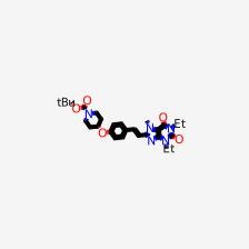 CCn1c(=O)c2c(nc(C=Cc3ccc(OC4CCN(C(=O)OC(C)(C)C)CC4)cc3)n2C)n(CC)c1=O